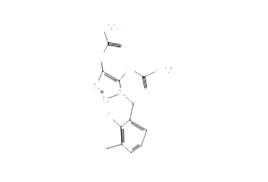 COC(=O)Oc1nnn(Cc2cccc(F)c2F)c1OC(=O)OC